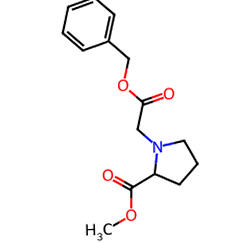 COC(=O)C1CCCN1CC(=O)OCc1ccccc1